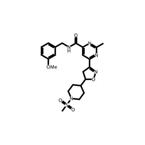 COc1cccc(CNC(=O)c2cc(C3=NOC(C4CCN(S(C)(=O)=O)CC4)C3)nc(C)n2)c1